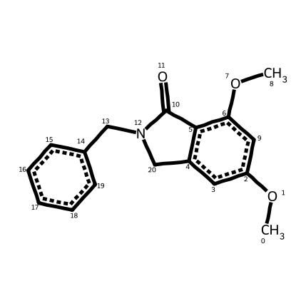 COc1cc2c(c(OC)c1)C(=O)N(Cc1ccccc1)C2